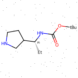 CC[C@@H](NC(=O)OC(C)(C)C)C1CCNC1